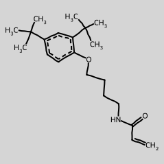 C=CC(=O)NCCCCOc1ccc(C(C)(C)C)cc1C(C)(C)C